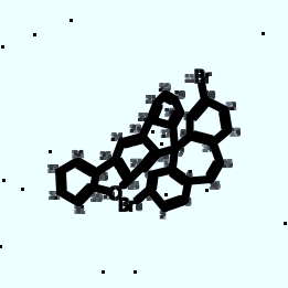 Brc1ccc2c(c1)C1(c3cc(Br)ccc3C=C2)c2ccccc2-c2cc3c(cc21)oc1ccccc13